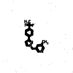 Cc1cncc(Cn2ccc(-c3ccc(C(C)(F)F)cc3)n2)c1